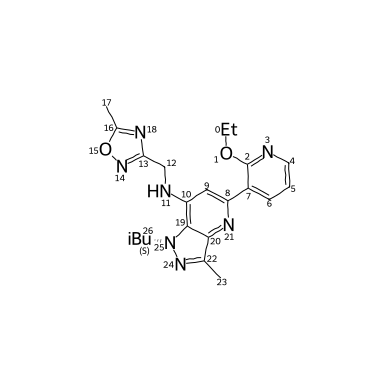 CCOc1ncccc1-c1cc(NCc2noc(C)n2)c2c(n1)c(C)nn2[C@@H](C)CC